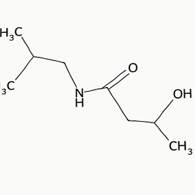 CC(C)CNC(=O)CC(C)O